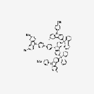 Cc1ccc2c(c1)c1cc(C3(c4ccc5c(c4)c4cc(C6(c7ccc8c(c7)c7cc(C)ccc7n8-c7ccc(C(C)(C)C)cc7)c7ccccc7-c7ccccc76)ccc4n5-c4ccc(-c5ccc(-n6c7ccc(C(C)(C)C)cc7c7cc(C(C)(C)C)ccc76)cc5)cc4)c4ccccc4-c4ccccc43)ccc1n2-c1ccc(C(C)(C)C)cc1